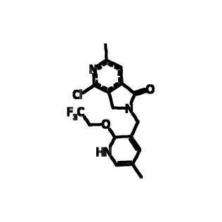 CC1=CNC(OCC(F)(F)F)C(CN2Cc3c(cc(C)nc3Cl)C2=O)=C1